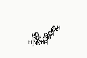 CC1(C)CN(c2ccc(S(=O)(=O)N3CCC(Nc4nc(N)c(C(=O)c5c(F)cccc5F)s4)CC3)cn2)CCN1